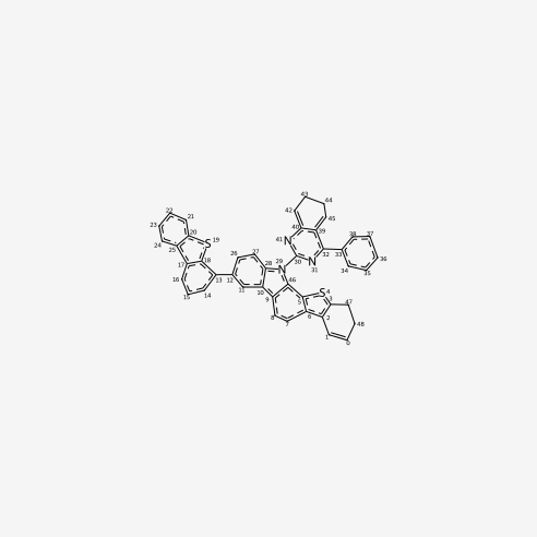 C1=Cc2c(sc3c2ccc2c4cc(-c5cccc6c5sc5ccccc56)ccc4n(-c4nc(-c5ccccc5)c5c(n4)=CCCC=5)c23)CC1